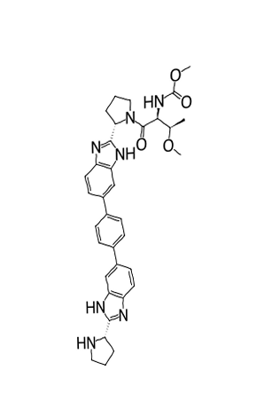 COC(=O)N[C@H](C(=O)N1CCC[C@H]1c1nc2ccc(-c3ccc(-c4ccc5nc([C@@H]6CCCN6)[nH]c5c4)cc3)cc2[nH]1)[C@@H](C)OC